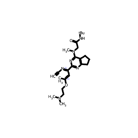 C#C/N=C(\C=C(/C)OCCN(C)C)c1nc2c(c(N(C)CC(=O)NC(C)(C)C)n1)CCC2